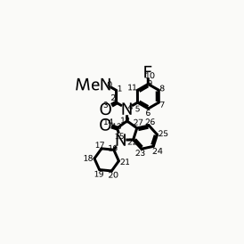 CNCC(=O)N(c1cccc(F)c1)C1C(=O)N(C2CCCCC2)c2ccccc21